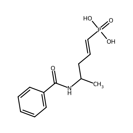 CC(CC=CP(=O)(O)O)NC(=O)c1ccccc1